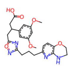 COc1cc(OC)cc(C(CC(=O)O)Cc2nc(CCCc3ccc4c(n3)NCCO4)no2)c1